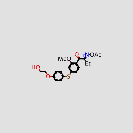 CC/C(=N\OC(C)=O)C(=O)c1ccc(Sc2ccc(OCCO)cc2)cc1OC